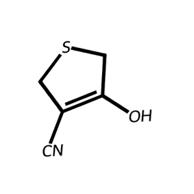 N#CC1=C(O)CSC1